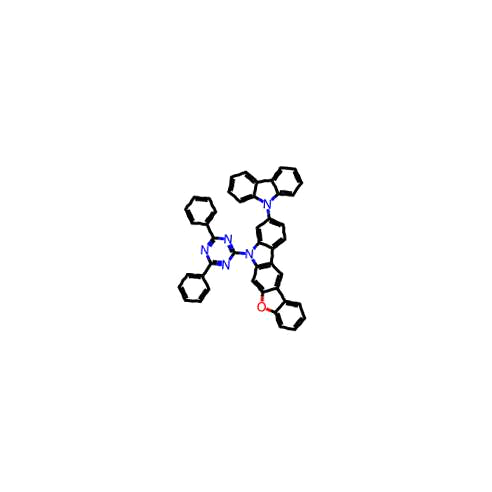 c1ccc(-c2nc(-c3ccccc3)nc(-n3c4cc(-n5c6ccccc6c6ccccc65)ccc4c4cc5c(cc43)oc3ccccc35)n2)cc1